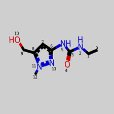 CCNC(=O)Nc1cc(CO)n(C)n1